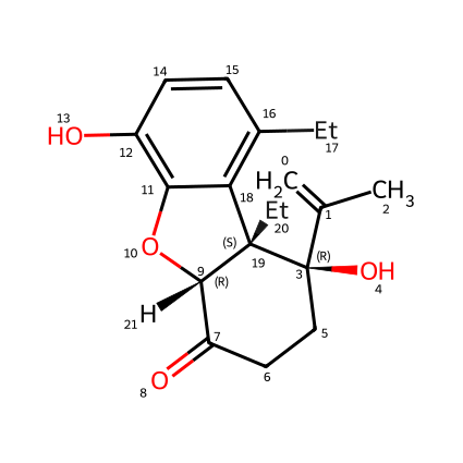 C=C(C)[C@]1(O)CCC(=O)[C@@H]2Oc3c(O)ccc(CC)c3[C@@]21CC